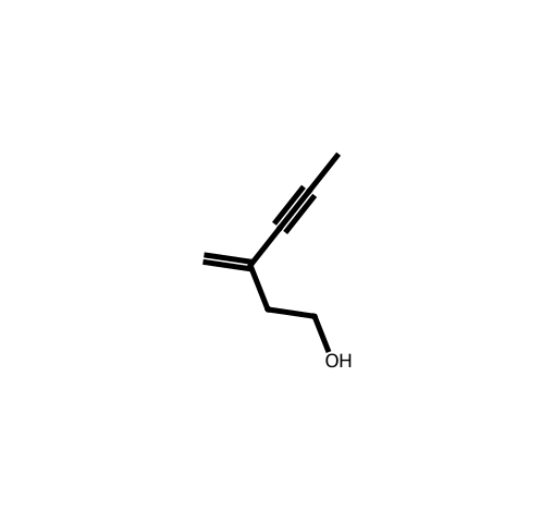 C=C(C#CC)CCO